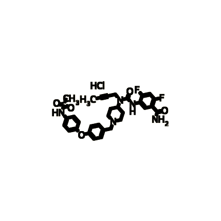 CC#CCN(C(=O)Nc1cc(C(N)=O)c(F)cc1F)C1CCN(Cc2ccc(Oc3ccc(NS(C)(=O)=O)cc3)cc2)CC1.Cl